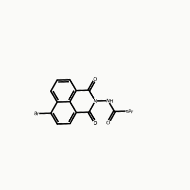 CCCC(=O)NN1C(=O)c2cccc3c(Br)ccc(c23)C1=O